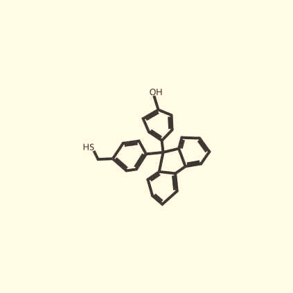 Oc1ccc(C2(c3ccc(CS)cc3)c3ccccc3-c3ccccc32)cc1